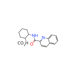 O=C(NC1CCCCC1C(=O)O)c1ccc2ccccc2n1